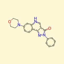 O=c1c2c[nH]c3cc(N4CCOCC4)ccc3c-2nn1-c1ccccc1